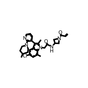 C=CC(=O)N1CC(NC(=O)Cn2c(C)c(-c3cccnc3N3CCC(C)CC3)c3cc(Cl)cc(C)c32)C1